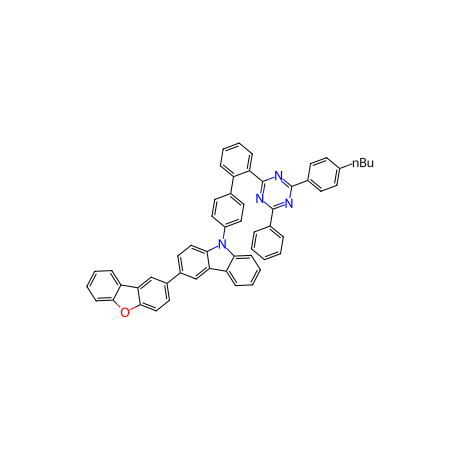 CCCCc1ccc(-c2nc(-c3ccccc3)nc(-c3ccccc3-c3ccc(-n4c5ccccc5c5cc(-c6ccc7oc8ccccc8c7c6)ccc54)cc3)n2)cc1